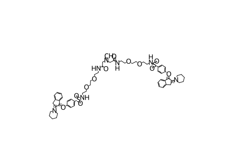 CN(CC(=O)NCCOCCOCCNS(=O)(=O)c1ccc(O[C@H]2c3ccccc3C[C@@H]2N2CCCCC2)cc1)CC(=O)NCCOCCOCCNS(=O)(=O)c1ccc(O[C@H]2c3ccccc3C[C@@H]2N2CCCCC2)cc1